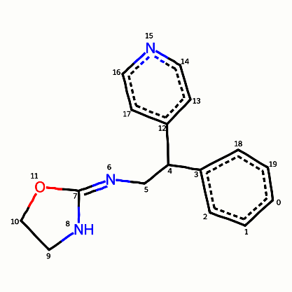 c1ccc(C(CN=C2NCCO2)c2ccncc2)cc1